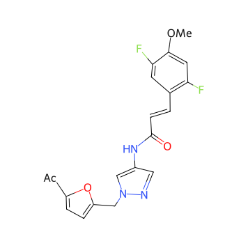 COc1cc(F)c(C=CC(=O)Nc2cnn(Cc3ccc(C(C)=O)o3)c2)cc1F